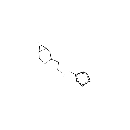 C[SiH](CCC1CCC2OC2C1)Oc1ccccc1